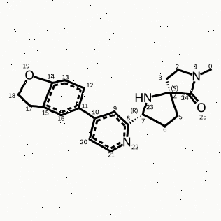 CN1CC[C@@]2(CC[C@H](c3cc(-c4ccc5c(c4)CCO5)ccn3)N2)C1=O